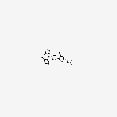 CCC(CC)C(=O)Nc1ccc(N2CCN(C3c4ccccc4NC(=O)c4ccccc43)[C@H](C)C2)c(C#N)c1